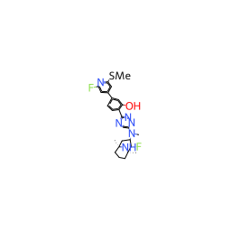 CSc1cc(-c2ccc(-c3ncc(N(C)[C@H]4C[C@]5(C)CCC[C@@](C)(N5)[C@H]4F)nn3)c(O)c2)cc(F)n1